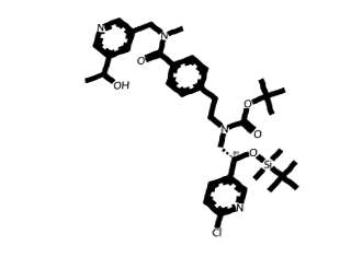 CC(O)c1cncc(CN(C)C(=O)c2ccc(CCN(C[C@H](O[Si](C)(C)C(C)(C)C)c3ccc(Cl)nc3)C(=O)OC(C)(C)C)cc2)c1